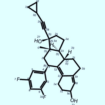 C[C@]12C[C@H](c3cc(F)cc(F)c3)C3=C4CCC(O)C=C4CC[C@H]3[C@@H]1CC[C@@]2(O)C#CC1CC1